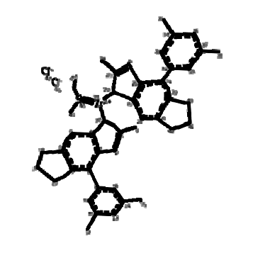 CC1=Cc2c(cc3c(c2-c2cc(C)cc(C)c2)CCC3)[CH]1[Zr+2]([CH]1C(C)=Cc2c1cc1c(c2-c2cc(C)cc(C)c2)CCC1)=[Si](C)C.[Cl-].[Cl-]